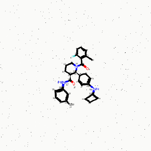 Cc1cccc(F)c1C(=O)N1CCC[C@H](C(=O)Nc2cccc(C(C)(C)C)c2)[C@@H]1C1C=CC(NC2CCC2)=CC1